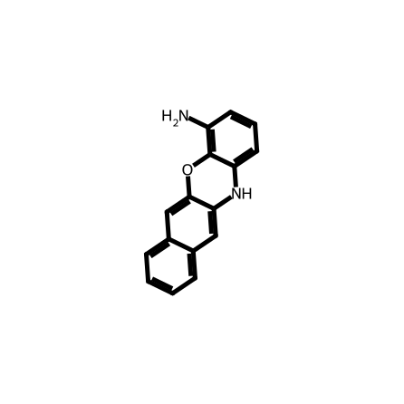 Nc1cccc2c1Oc1cc3ccccc3cc1N2